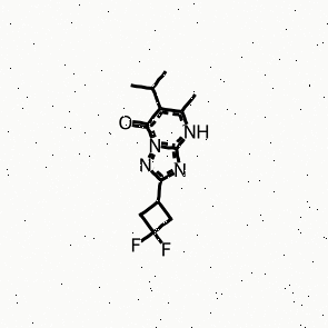 Cc1[nH]c2nc(C3CC(F)(F)C3)nn2c(=O)c1C(C)C